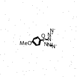 COc1ccc(P(=O)(N=[N+]=[N-])N=[N+]=[N-])cc1